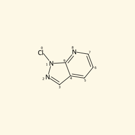 Cln1ncc2cccnc21